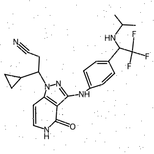 CC(C)NC(c1ccc(Nc2nn(C(CC#N)C3CC3)c3cc[nH]c(=O)c23)cc1)C(F)(F)F